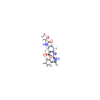 Cc1c(NC(=O)c2ccco2)ccc2nc(N[C@@H](C)c3ccccc3)oc(=O)c12